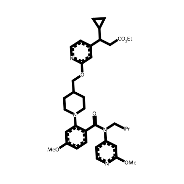 CCOC(=O)CC(c1ccnc(OCC2CCN(c3cc(OC)ccc3C(=O)N(CC(C)C)c3ccnc(OC)c3)CC2)c1)C1CC1